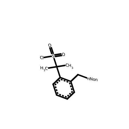 CCCCCCCCCCc1ccccc1C(C)(C)S(=O)(=O)Cl